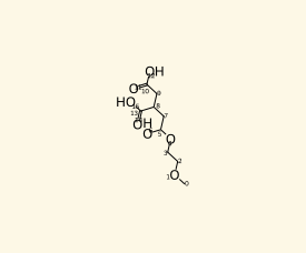 COCCOC(O)CC(CC(=O)O)C(=O)O